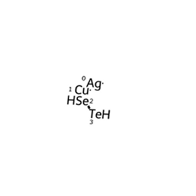 [Ag].[Cu].[SeH][TeH]